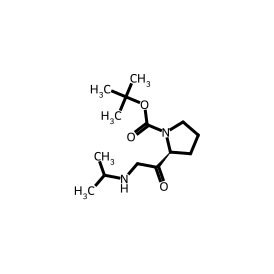 CC(C)NCC(=O)[C@@H]1CCCN1C(=O)OC(C)(C)C